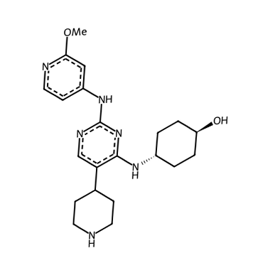 COc1cc(Nc2ncc(C3CCNCC3)c(N[C@H]3CC[C@H](O)CC3)n2)ccn1